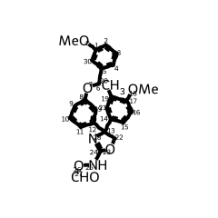 COc1cccc(COc2cccc(C3(c4ccc(OC)c(C)c4)COC(NOC=O)=N3)c2)c1